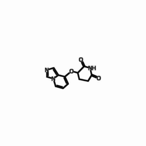 O=C1CCC(Oc2cccn3cncc23)C(=O)N1